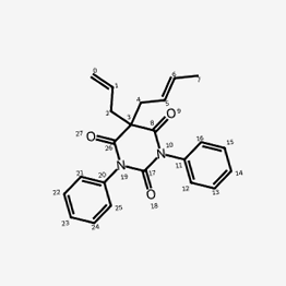 C=CCC1(CC=CC)C(=O)N(c2ccccc2)C(=O)N(c2ccccc2)C1=O